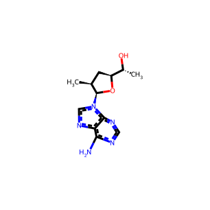 C[C@@H](O)[C@@H]1C[C@H](C)[C@H](n2cnc3c(N)ncnc32)O1